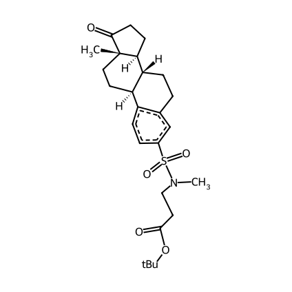 CN(CCC(=O)OC(C)(C)C)S(=O)(=O)c1ccc2c(c1)CC[C@@H]1[C@@H]2CC[C@]2(C)C(=O)CC[C@@H]12